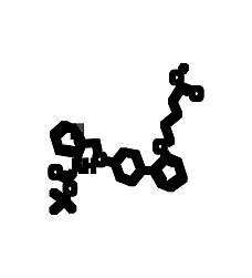 COC(=O)CCCCOc1ccccc1C1CCC(OCc2ncccc2NC(=O)OC(C)(C)C)CC1